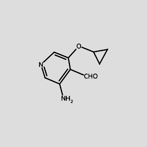 Nc1cncc(OC2CC2)c1C=O